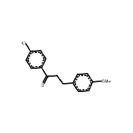 COc1ccc(CCC(=O)c2ccc(Cl)cc2)cc1